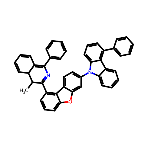 CC1C(c2cccc3oc4cc(-n5c6ccccc6c6c(-c7ccccc7)cccc65)ccc4c23)=NC(c2ccccc2)=C2C=CC=CC21